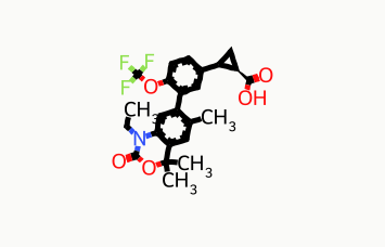 CCN1C(=O)OC(C)(C)c2cc(C)c(-c3cc(C4C[C@H]4C(=O)O)ccc3OC(F)(F)F)cc21